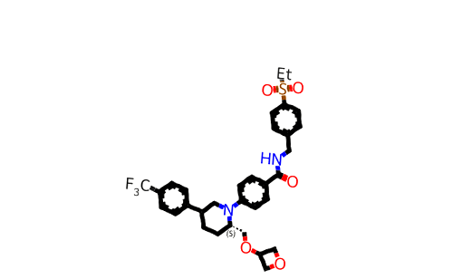 CCS(=O)(=O)c1ccc(CNC(=O)c2ccc(N3CC(c4ccc(C(F)(F)F)cc4)CC[C@H]3COC3COC3)cc2)cc1